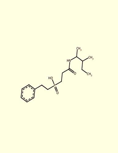 CCC(C)C(C)NC(=O)CCP(=O)(O)CCc1ccccc1